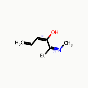 C=C/C=C(O)\C(CC)=N/C